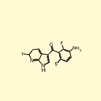 Nc1ccc(F)c(C(=O)c2c[nH]c3c2=CCC(I)N=3)c1F